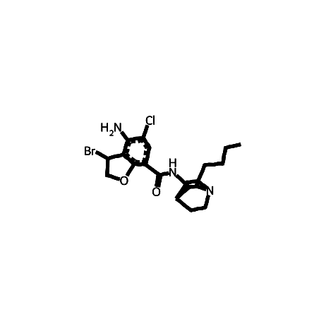 CCCCC1C(NC(=O)c2cc(Cl)c(N)c3c2OCC3Br)C2CCN1CC2